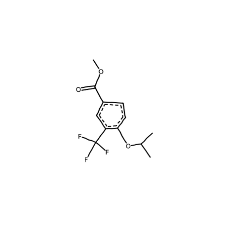 COC(=O)c1ccc(OC(C)C)c(C(F)(F)F)c1